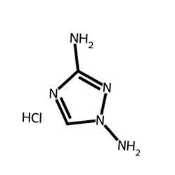 Cl.Nc1ncn(N)n1